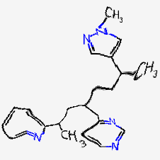 CC(CCC(CC(C)c1ccccn1)c1ccncn1)c1cnn(C)c1